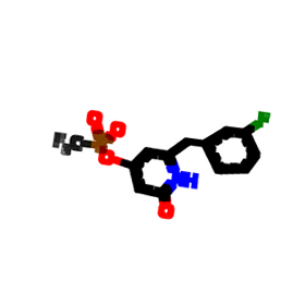 O=c1cc(OS(=O)(=O)C(F)(F)F)cc(Cc2cccc(F)c2)[nH]1